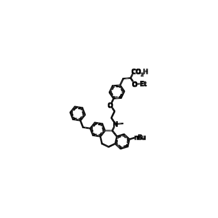 CCCCc1ccc2c(c1)C(N(C)CCOc1ccc(CC(OCC)C(=O)O)cc1)c1ccc(Cc3ccccc3)cc1CC2